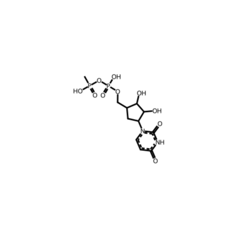 CP(=O)(O)OP(=O)(O)OCC1CC(n2ccc(=O)[nH]c2=O)C(O)C1O